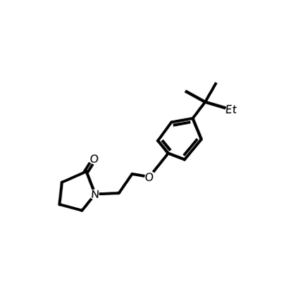 CCC(C)(C)c1ccc(OCCN2CCCC2=O)cc1